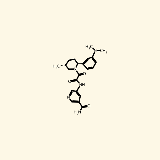 C[C@@H]1CC[C@@H](c2cccc(N(C)C)c2)N(C(=O)C(=O)Nc2cncc(C(N)=O)c2)C1